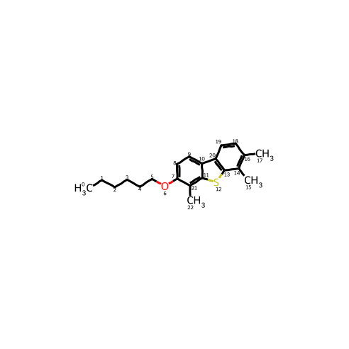 CCCCCCOc1ccc2c(sc3c(C)c(C)ccc32)c1C